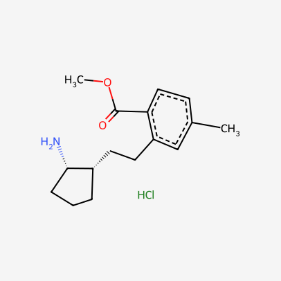 COC(=O)c1ccc(C)cc1CC[C@@H]1CCC[C@@H]1N.Cl